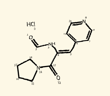 Cl.O=CNC(=Cc1ccncc1)C(=O)N1CCCC1